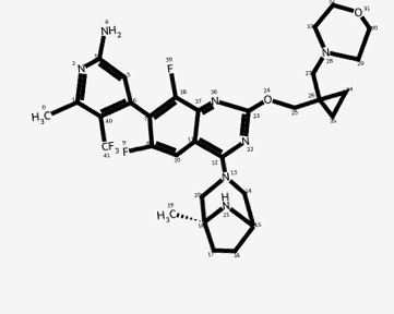 Cc1nc(N)cc(-c2c(F)cc3c(N4CC5CC[C@@](C)(C4)N5)nc(OCC4(CN5CCOCC5)CC4)nc3c2F)c1C(F)(F)F